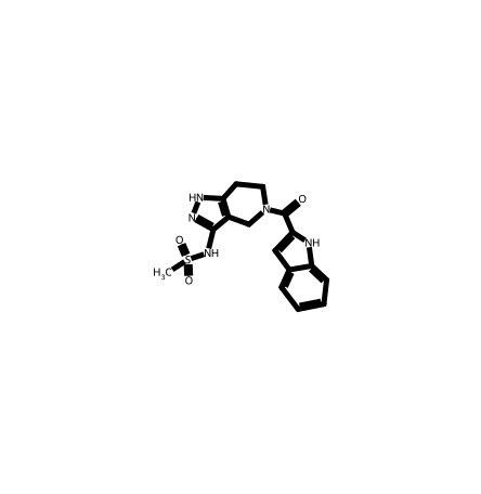 CS(=O)(=O)Nc1n[nH]c2c1CN(C(=O)c1cc3ccccc3[nH]1)CC2